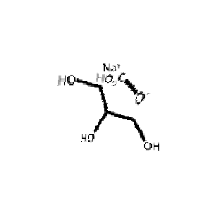 O=C([O-])O.OCC(O)CO.[Na+]